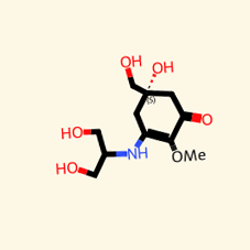 COC1=C(NC(CO)CO)C[C@@](O)(CO)CC1=O